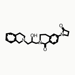 O=C1c2ccc(N3CCC3=O)cc2CCN1CC(O)CN1CCc2ccccc2C1